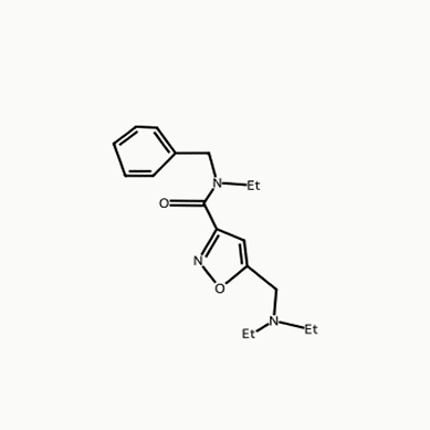 CCN(CC)Cc1cc(C(=O)N(CC)Cc2ccccc2)no1